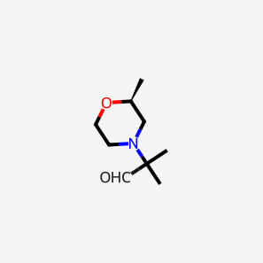 C[C@H]1CN(C(C)(C)C=O)CCO1